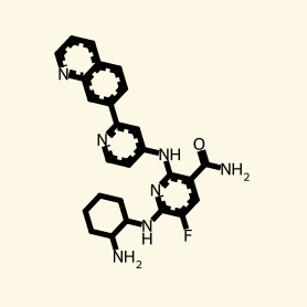 NC(=O)c1cc(F)c(NC2CCCCC2N)nc1Nc1ccnc(-c2ccc3cccnc3c2)c1